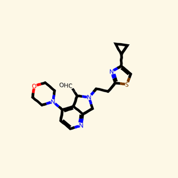 O=CC1c2c(N3CCOCC3)ccnc2CN1CCc1nc(C2CC2)cs1